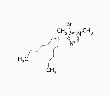 CCCCCCC(C)(CCCCC)c1ncn(C)c1Br